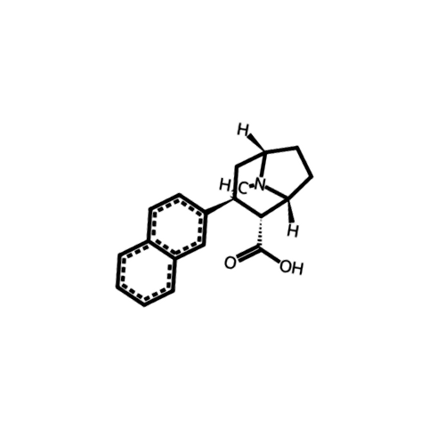 CN1[C@H]2CC[C@@H]1[C@H](C(=O)O)[C@@H](c1ccc3ccccc3c1)C2